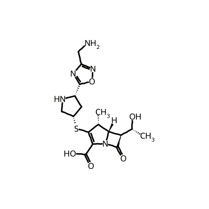 C[C@@H](O)[C@H]1C(=O)N2C(C(=O)O)=C(S[C@@H]3CN[C@H](c4nc(CN)no4)C3)[C@H](C)[C@H]12